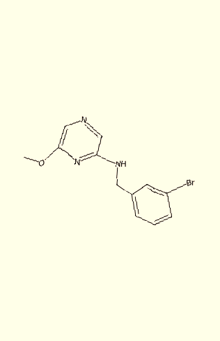 COc1cncc(NCc2cccc(Br)c2)n1